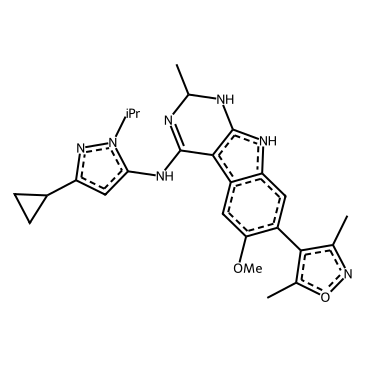 COc1cc2c3c([nH]c2cc1-c1c(C)noc1C)NC(C)N=C3Nc1cc(C2CC2)nn1C(C)C